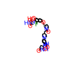 Cn1c(=O)n(C2CCC(=O)NC2=O)c2ccc(N3CCC(CC(=O)N4CCC[C@H](COc5ccc6cc(O)c(N7CC(=O)NS7(=O)=O)c(F)c6c5)C4)CC3)cc21